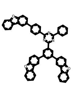 c1ccc(-c2nc(-c3ccc(-c4ccc5oc6ccccc6c5c4)cc3)nc(-c3cc(-c4ccc5oc6ccccc6c5c4)cc(-c4ccc5oc6ccccc6c5c4)c3)n2)cc1